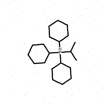 CC(C)[PH](C1CCCCC1)(C1CCCCC1)C1CCCCC1